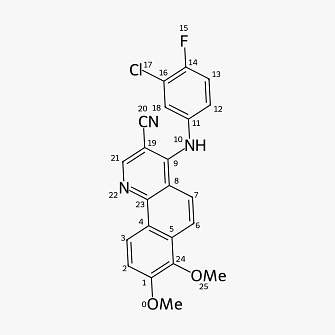 COc1ccc2c(ccc3c(Nc4ccc(F)c(Cl)c4)c(C#N)cnc32)c1OC